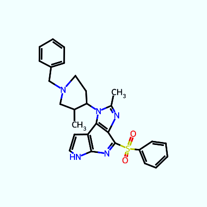 Cc1nc2c(S(=O)(=O)c3ccccc3)nc3[nH]ccc3c2n1C1CCN(Cc2ccccc2)CC1C